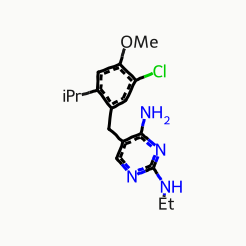 CCNc1ncc(Cc2cc(Cl)c(OC)cc2C(C)C)c(N)n1